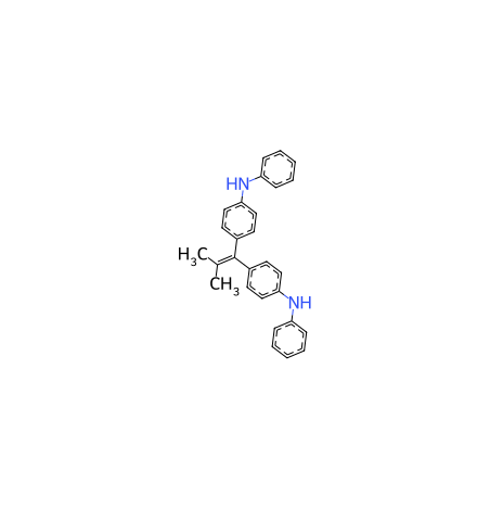 CC(C)=C(c1ccc(Nc2ccccc2)cc1)c1ccc(Nc2ccccc2)cc1